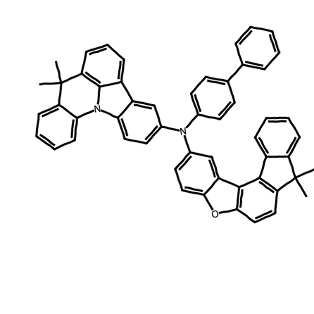 CC1(C)c2ccccc2-c2c1ccc1oc3ccc(N(c4ccc(-c5ccccc5)cc4)c4ccc5c(c4)c4cccc6c4n5-c4ccccc4C6(C)C)cc3c21